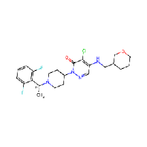 C[C@H](c1c(F)cccc1F)N1CCC(n2ncc(NCC3CCCOC3)c(Cl)c2=O)CC1